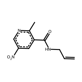 C=CCNC(=O)c1cc([N+](=O)[O-])cnc1C